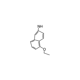 CCOc1cccc2cc([NH])ccc12